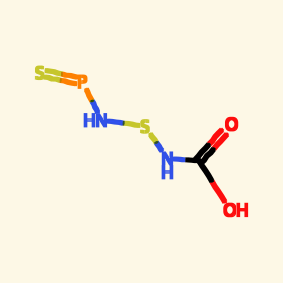 O=C(O)NSNP=S